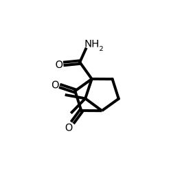 CC1(C)C2CCC1(C(N)=O)C(=O)C2=O